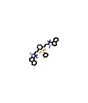 CN1/C(=C/C=C2\CCCC(/C=C/C3=[N+](C)c4ccc5ccccc5c4C3(C)C)=C2S(=O)(=O)c2ccccc2)C(C)(C)c2c1ccc1ccccc21